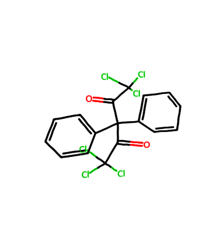 O=C(C(Cl)(Cl)Cl)C(C(=O)C(Cl)(Cl)Cl)(c1ccccc1)c1ccccc1